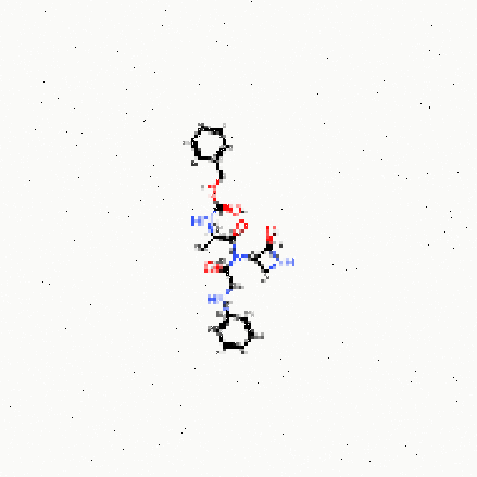 C[C@@H](NC(=O)OCc1ccccc1)C(=O)N(C(=O)CNc1ccccc1)C1CNC1=O